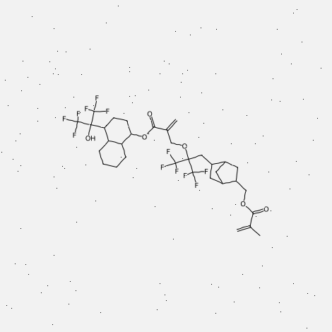 C=C(C)C(=O)OCC1CC2CC1CC2CC(OCC(=C)C(=O)OC1CCC(C(O)(C(F)(F)F)C(F)(F)F)C2CCCCC12)(C(F)(F)F)C(F)(F)F